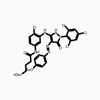 CCCCCCCCCCCCCC(=O)Nc1ccc(Cl)c(Nc2[nH]n(-c3c(Cl)cc(Cl)cc3Cl)c(=O)c2N=Nc2ccc(OC)cc2)c1